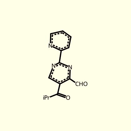 CC(C)C(=O)c1cnc(-c2ccccn2)nc1C=O